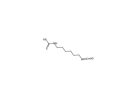 O=C=NCCCCCCNC(=S)S